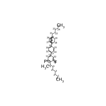 CCCCCCC(C)c1c(F)cc(-c2ccc(C34CCC(CCCCC)(CC3)CC4)cc2)cc1F